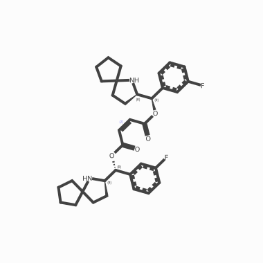 O=C(/C=C\C(=O)O[C@H](c1cccc(F)c1)[C@H]1CCC2(CCCC2)N1)O[C@H](c1cccc(F)c1)[C@H]1CCC2(CCCC2)N1